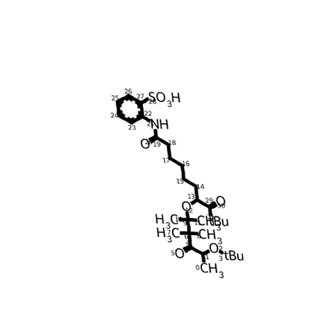 CC(OC(C)(C)C)C(=O)C(C)(C)C(C)(C)OC(CCCCCC(=O)Nc1ccccc1S(=O)(=O)O)C(=O)C(C)(C)C